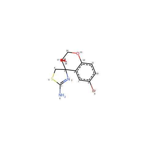 NC1=NC2(CS1)c1cc(Br)ccc1OCC21COC1